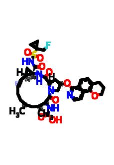 C[C@@H]1CC/C=C\[C@@H]2C[C@@]2(C(=O)NS(=O)(=O)C2(CF)CC2)NC(=O)[C@@H]2C[C@@H](Oc3nccc4c5c(ccc34)CCCO5)CN2C(=O)[C@@H](NC(=O)O)[C@H](C)C1